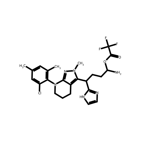 Cc1cc(C)c(N2CCCc3c2nn(C)c3C(CCC(N)OC(=O)C(F)(F)F)c2ncc[nH]2)c(Cl)c1